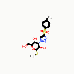 CS[C@@H]1OC(CO)[C@H](O)[C@H](n2cc(S(=O)(=O)c3ccc(C)cc3)nn2)C1O